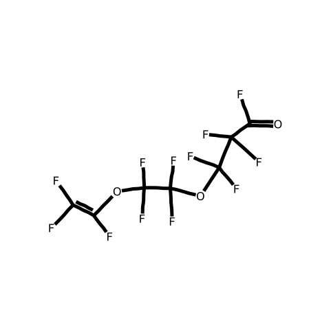 O=C(F)C(F)(F)C(F)(F)OC(F)(F)C(F)(F)OC(F)=C(F)F